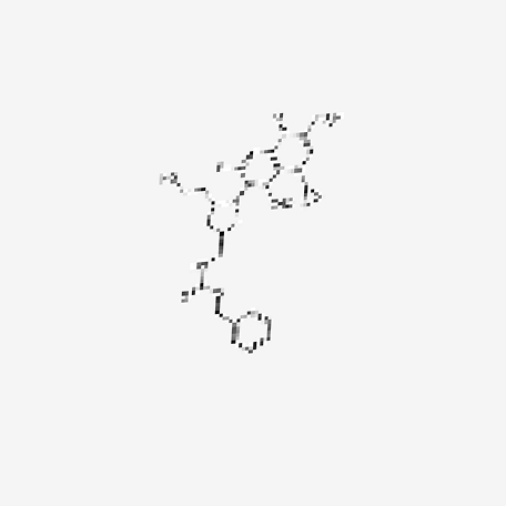 O=Cc1c(N2CC(CNC(=O)OCc3ccccc3)CC2CCO)c(F)cc2c(=O)c(C(=O)O)cn(C3CC3)c12